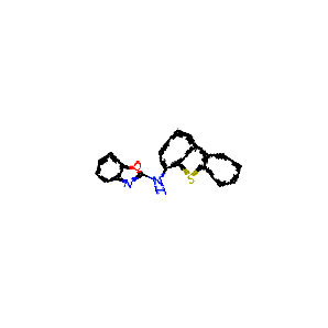 c1ccc2oc(Nc3cccc4c3sc3ccccc34)nc2c1